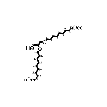 CCCCCCCCCCCCCCCCCCOCC(CO)OCCCCCCCCCCCCCCCCCC